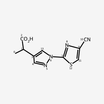 CC(C(=O)O)c1cnn(-c2nc(C#N)cs2)c1